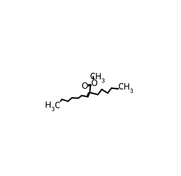 CCCCCCC=C(CCCCCC)C(=O)OC